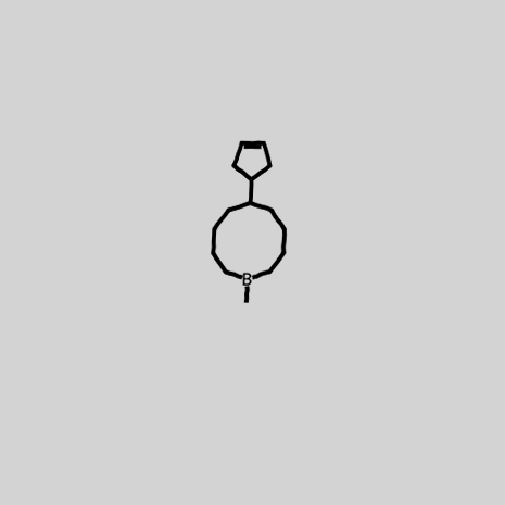 CB1CCCCC(C2CC=CC2)CCCC1